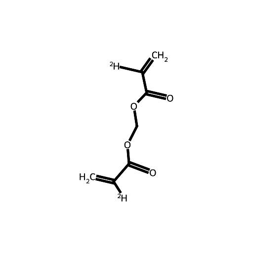 [2H]C(=C)C(=O)OCOC(=O)C([2H])=C